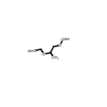 COCOC(C)COOC